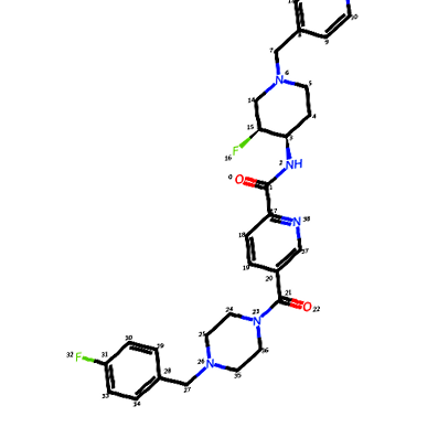 O=C(N[C@@H]1CCN(Cc2ccncc2)C[C@@H]1F)c1ccc(C(=O)N2CCN(Cc3ccc(F)cc3)CC2)cn1